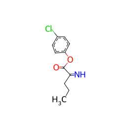 CCCC(=N)C(=O)Oc1ccc(Cl)cc1